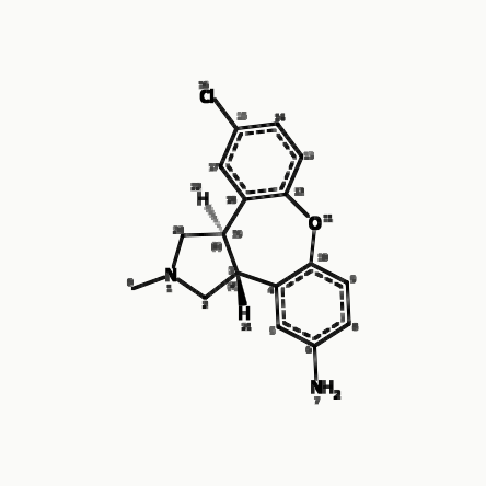 CN1C[C@H]2c3cc(N)ccc3Oc3ccc(Cl)cc3[C@@H]2C1